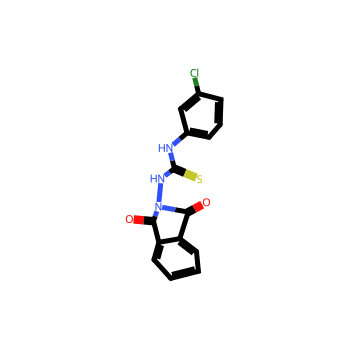 O=C1c2ccccc2C(=O)N1NC(=S)Nc1cccc(Cl)c1